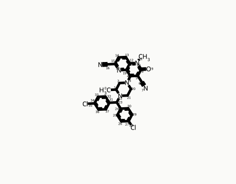 CC1CN(c2c(C#N)c(=O)n(C)c3ccc(C#N)nc23)CCN1C(c1ccc(Cl)cc1)c1ccc(Cl)cc1